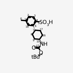 Cc1ccc(S(=O)(=O)O)c([C@H]2CC[C@@H](NC(=O)OC(C)(C)C)CC2)c1